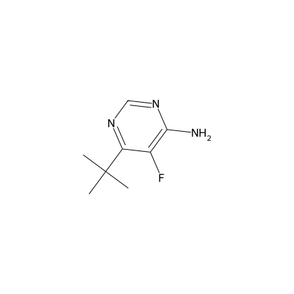 CC(C)(C)c1ncnc(N)c1F